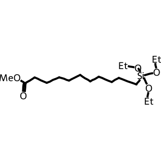 CCO[Si](CCCCCCCCCCC(=O)OC)(OCC)OCC